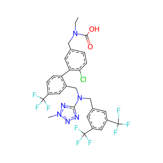 CCN(Cc1ccc(Cl)c(-c2ccc(C(F)(F)F)cc2CN(Cc2cc(C(F)(F)F)cc(C(F)(F)F)c2)c2nnn(C)n2)c1)C(=O)O